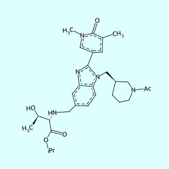 CC(=O)N1CCC[C@@H](Cn2c(-c3cc(C)c(=O)n(C)c3)nc3cc(CN[C@H](C(=O)OC(C)C)[C@@H](C)O)ccc32)C1